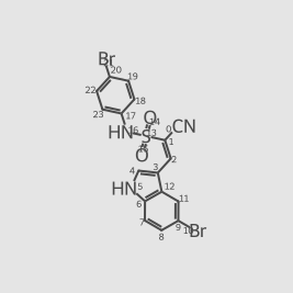 N#C/C(=C/c1c[nH]c2ccc(Br)cc12)S(=O)(=O)Nc1ccc(Br)cc1